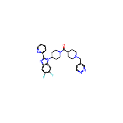 O=C(C1CCN(Cc2ccnnc2)CC1)N1CCC(n2c(-c3ccccn3)nc3cc(F)c(F)cc32)CC1